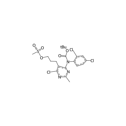 Cc1nc(Cl)c(CCCOS(C)(=O)=O)c(N(C(=O)OC(C)(C)C)c2ccc(Cl)cc2Cl)n1